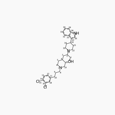 OCC(CC1CCN(CCCc2ccc(Cl)c(Cl)c2)CC1)N1CCC(c2c[nH]c3ccccc23)CC1